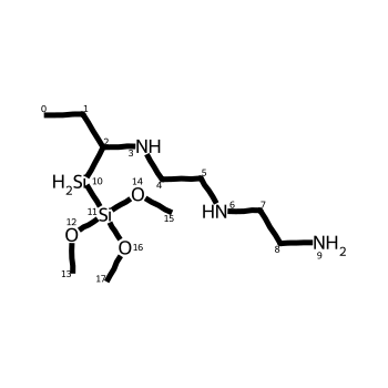 CCC(NCCNCCN)[SiH2][Si](OC)(OC)OC